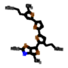 CCCCCCCCCCCCc1cc(-c2ccc(-c3cc(CCCCCCCCCCCC)c(-c4sc(C)c5nc(CCCCCCCC)sc45)s3)s2)sc1C